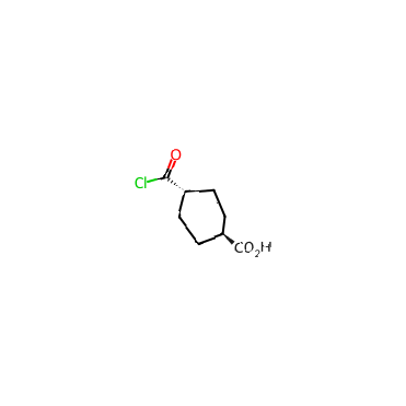 O=C(O)[C@H]1CC[C@H](C(=O)Cl)CC1